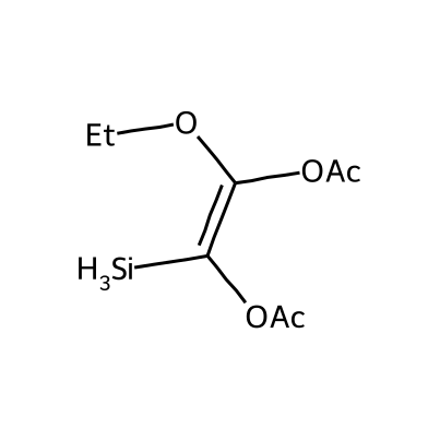 CCOC(OC(C)=O)=C([SiH3])OC(C)=O